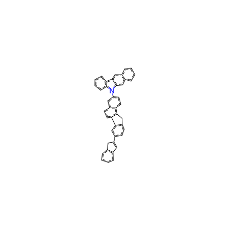 C1=C(c2ccc3c(c2)-c2ccc4cc(-n5c6ccccc6c6cc7ccccc7cc65)ccc4c2C3)Cc2ccccc21